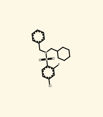 O=S(=O)(c1ccc(Cl)cc1F)N(Cc1ccccc1)CC1CC[CH]CC1